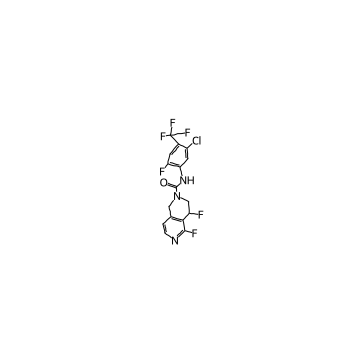 O=C(Nc1cc(Cl)c(C(F)(F)F)cc1F)N1Cc2ccnc(F)c2C(F)C1